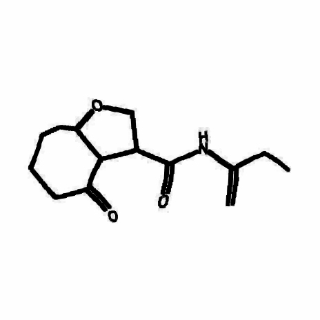 C=C(CC)NC(=O)C1COC2CCCC(=O)C21